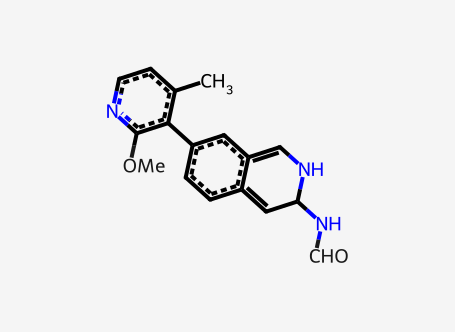 COc1nccc(C)c1-c1ccc2c(c1)=CNC(NC=O)C=2